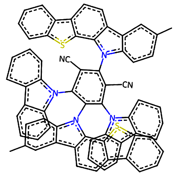 Cc1ccc2c(c1)c1ccc3c4ccccc4sc3c1n2-c1c(C#N)c(-n2c3ccccc3c3ccccc32)c(-n2c3ccc(C)cc3c3ccc4c5ccccc5sc4c32)c(-n2c3ccccc3c3ccccc32)c1C#N